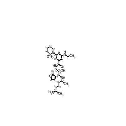 CCNc1cc(C(=O)N[C@@H](Cc2ccco2)[C@H](O)CNC(C)CCCC(C)C)cc(N2CCCCS2(=O)=O)c1